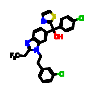 OC(c1ccc(Cl)cc1)(c1ccc2nc(CC(F)(F)F)n(CCc3cccc(Cl)c3)c2c1)c1nccs1